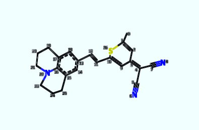 CC1=CC(=C(C#N)C#N)C=C(C=Cc2cc3c4c(c2)CCCN4CCC3)S1